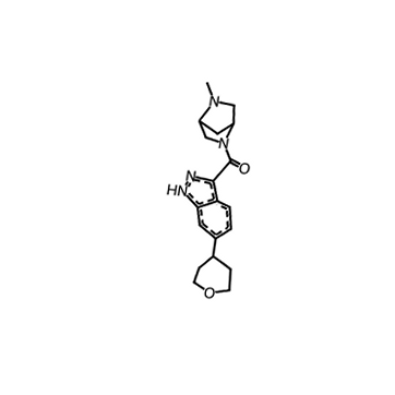 CN1CC2CC1CN2C(=O)c1n[nH]c2cc(C3CCOCC3)ccc12